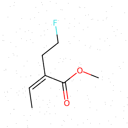 CC=C(CCF)C(=O)OC